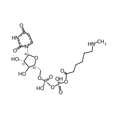 CNCCCCCC(=O)OP(=O)(O)OP(=O)(O)OC[C@H]1O[C@@H](n2ccc(=O)[nH]c2=O)[C@@H](O)C1O